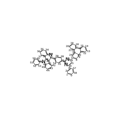 c1ccc(-c2cc(-c3ccc4c5ccccc5c5ccccc5c4c3)nc(-c3ccc(-c4nc5ccccc5c5c4c4ccccc4n5-c4ccccc4)cc3)n2)cc1